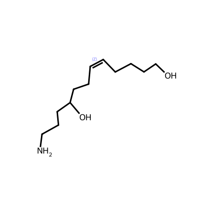 NCCCC(O)CC/C=C\CCCCO